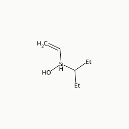 C=C[SiH](O)C(CC)CC